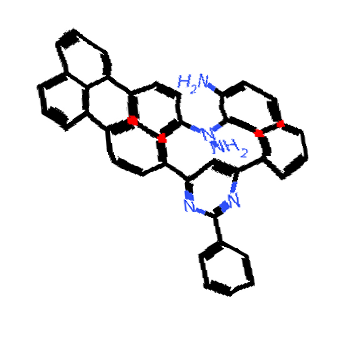 Nc1ccccc1N(N)c1ccc(-c2cccc3cccc(-c4ccc(-c5cc(-c6ccccc6)nc(-c6ccccc6)n5)cc4)c23)cc1